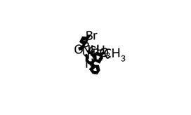 COc1ccc2c(c1)N(C)C(CNC(=O)c1ccc(Br)s1)CN=C2c1ccccc1